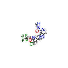 CCNC(=O)c1nccc2nn(Cc3cnc(OCC(F)(F)C(F)F)c(Cl)c3)cc12